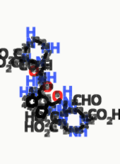 O=CC(NNC(=O)c1[nH]c2ccccc2c1Cc1c(C(=O)NNC(=O)CN2CCNCCNCCN(C(C(=O)O)(C(=O)O)C(=O)O)CC2)[nH]c2ccccc12)N1CCN(CC(=O)O)CCNCCN(C(C(=O)O)C(=O)O)CC1